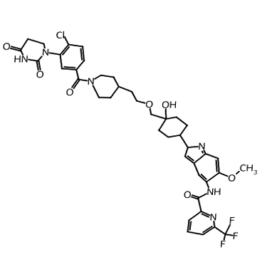 COc1cc2c(cc1NC(=O)c1cccc(C(F)(F)F)n1)=CC(C1CCC(O)(COCCC3CCN(C(=O)c4ccc(Cl)c(N5CCC(=O)NC5=O)c4)CC3)CC1)N=2